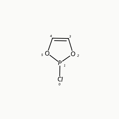 ClP1OC=CO1